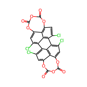 O=C1OC(=O)Oc2cc(Cl)c3c4c(Cl)cc5c6c(cc(Cl)c(c7c(Cl)cc(c2c73)O1)c64)OC(=O)OC(=O)O5